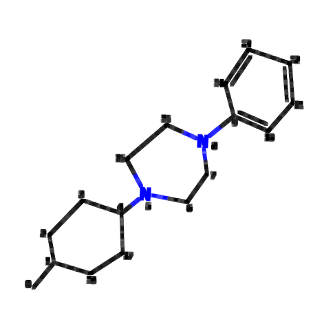 CC1CCC(N2CCN(c3ccccc3)CC2)CC1